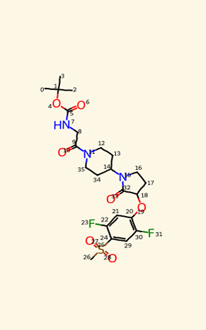 CC(C)(C)OC(=O)NCC(=O)N1CCC(N2CCC(Oc3cc(F)c(S(C)(=O)=O)cc3F)C2=O)CC1